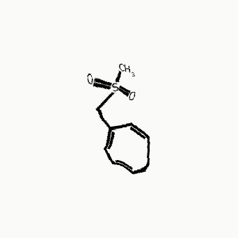 CS(=O)(=O)CC1=CC=CCC=C1